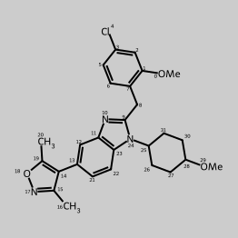 COc1cc(Cl)ccc1Cc1nc2cc(-c3c(C)noc3C)ccc2n1C1CCC(OC)CC1